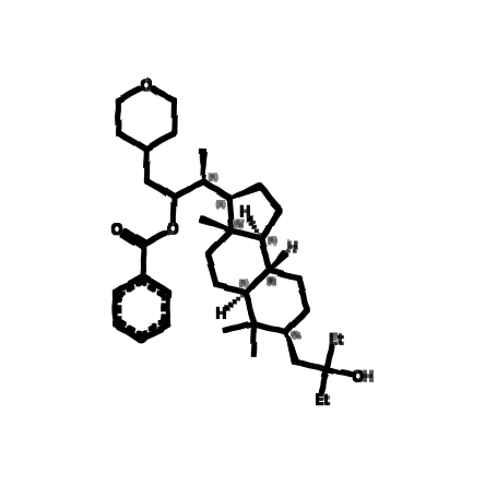 CCC(O)(CC)C[C@@H]1CC[C@@H]2[C@H](CC[C@]3(C)[C@@H]([C@H](C)C(CC4CCOCC4)OC(=O)c4ccccc4)CC[C@@H]23)C1(C)C